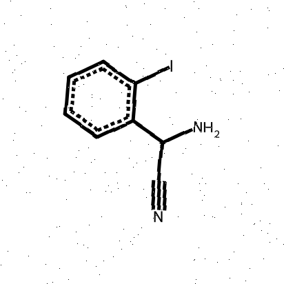 N#CC(N)c1ccccc1I